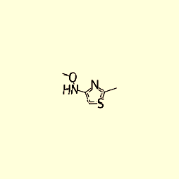 CONc1csc(C)n1